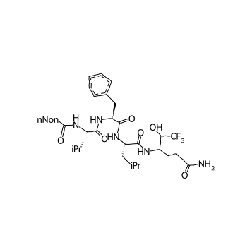 CCCCCCCCCC(=O)N[C@H](C(=O)N[C@@H](Cc1ccccc1)C(=O)N[C@@H](CC(C)C)C(=O)NC(CCC(N)=O)C(O)C(F)(F)F)C(C)C